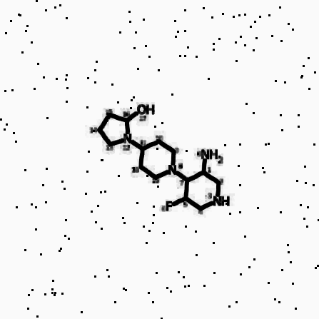 NC1CNCC(F)C1N1CCC(N2CCCC2O)CC1